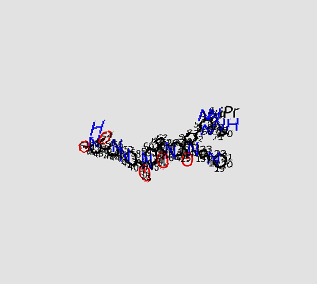 CC(C)n1cnc2cc(-c3ccc4c(c3)N([C@H]3C[C@@H](N5CCCCC5)C3)C(=O)C43CCN(C(=O)C4(C5CCN(C(=O)C6CCN(c7ccc(C8CCC(=O)NC8=O)cn7)CC6)CC5)CCC4)CC3)nc(NC3CC3)c21